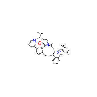 C=C1CC2C(CCc3ccc4c(oc5ncccc54)c3-c3cc(C(C)C(C)C)cc[n+]31)c1ccccc1-c1cc(C(C)C)c([Si](C)(C)C)c[n+]12